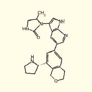 CC1CNC(=O)N1c1c[nH]c2ncc(-c3cc4c(c([C@@H]5CCCN5)c3)COCC4)cc12